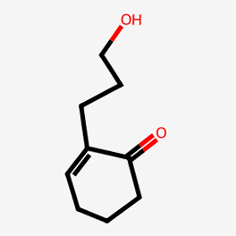 O=C1CCCC=C1CCCO